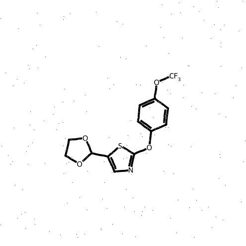 FC(F)(F)Oc1ccc(Oc2ncc(C3OCCO3)s2)cc1